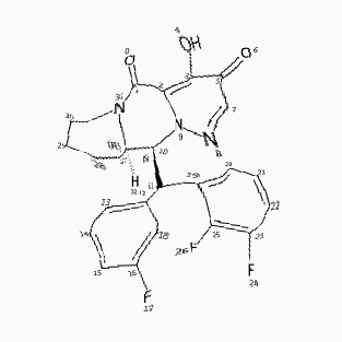 O=C1c2c(O)c(=O)cnn2[C@@H](C(c2cccc(F)c2)c2cccc(F)c2F)[C@H]2CCCN12